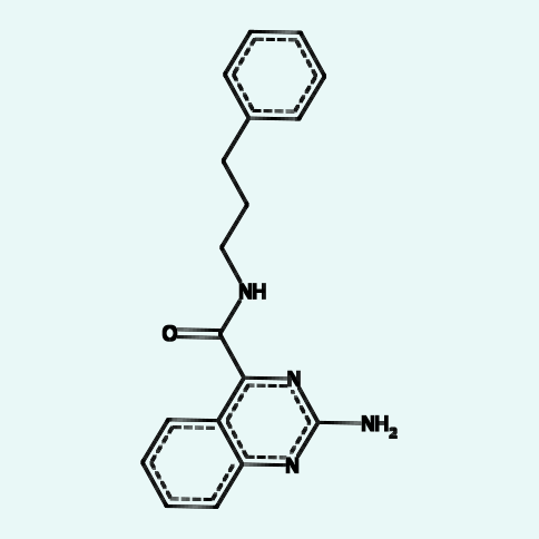 Nc1nc(C(=O)NCCCc2ccccc2)c2ccccc2n1